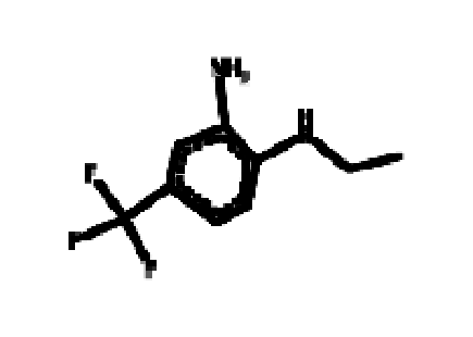 CCNc1ccc(C(F)(F)F)cc1N